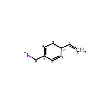 C=CC1C=CC(CI)=CC1